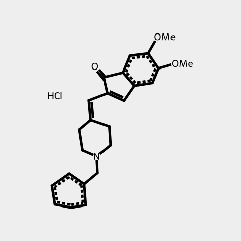 COc1cc2c(cc1OC)C(=O)C(C=C1CCN(Cc3ccccc3)CC1)=C2.Cl